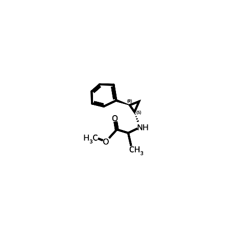 COC(=O)C(C)N[C@H]1C[C@@H]1c1ccccc1